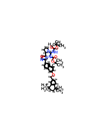 CC(C)(C)OC(=O)N=C(NC(=O)OC(C)(C)C)N1CCCC1c1nc(-c2ccc3cc(OCc4ccc5c(c4)C(C)(C)CCC5(C)C)ccc3c2)no1